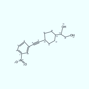 O=[N+]([O-])c1cccc(C#CC2CCC(C(O)CO)CC2)c1